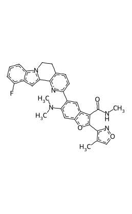 CNC(=O)c1c(-c2nocc2C)oc2cc(N(C)C)c(-c3ccc4c(n3)-c3cc5c(F)cccc5n3CC4)cc12